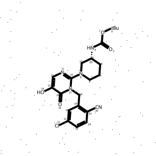 CC(C)(C)OC(=O)N[C@@H]1CCCN(c2ncc(O)c(=O)n2Cc2cc(Cl)ccc2C#N)C1